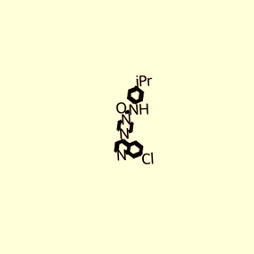 CC(C)c1ccc(NC(=O)N2CCN(c3ccnc4cc(Cl)ccc34)CC2)cc1